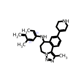 C=C/C(C)=C\C(=C/C)NC1CCn2nnc(C)c2-c2ccc(C3=CCNCC3)cc21